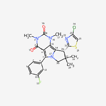 Cn1c(=O)c2c(-c3cccc(F)c3)n3c(c2n(C)c1=O)[C@H](c1nc(Cl)cs1)C(C)(C)C3